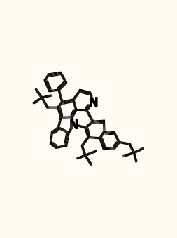 CC(C)(C)Cc1ccc2c(CC(C)(C)C)c3c(cc2c1)c1nccc2c(-c4ccccc4)c(CC(C)(C)C)c4c5ccccc5n3c4c21